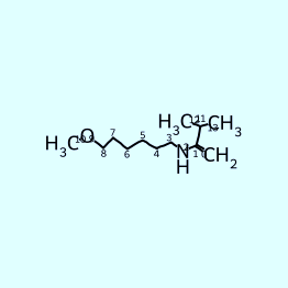 C=C(NCCCCCCOC)C(C)C